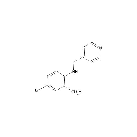 O=C(O)c1cc(Br)ccc1NCc1ccncc1